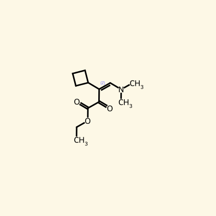 CCOC(=O)C(=O)/C(=C\N(C)C)C1CCC1